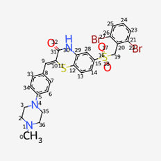 CN1CCN(c2ccc(C=C3Sc4ccc(S(=O)(=O)Cc5c(Br)cccc5Br)cc4NC3=O)cc2)CC1